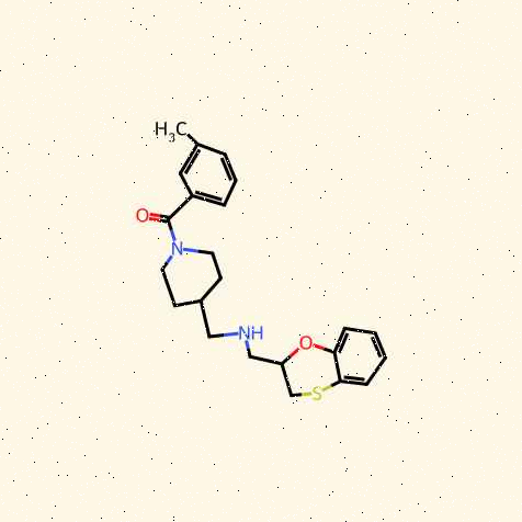 Cc1cccc(C(=O)N2CCC(CNCC3CSc4ccccc4O3)CC2)c1